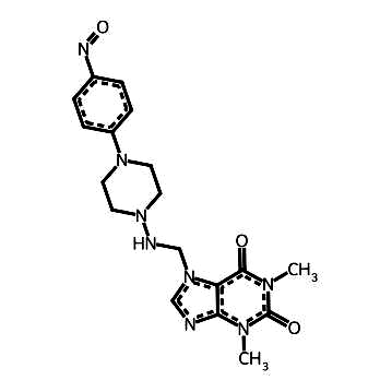 Cn1c(=O)c2c(ncn2CNN2CCN(c3ccc(N=O)cc3)CC2)n(C)c1=O